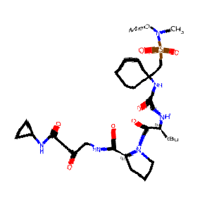 CON(C)S(=O)(=O)CC1(NC(=O)N[C@H](C(=O)N2CCC[C@H]2C(=O)NCC(=O)C(=O)NC2CC2)C(C)(C)C)CCCCC1